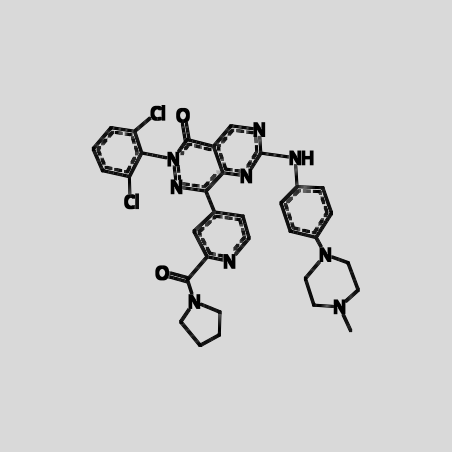 CN1CCN(c2ccc(Nc3ncc4c(=O)n(-c5c(Cl)cccc5Cl)nc(-c5ccnc(C(=O)N6CCCC6)c5)c4n3)cc2)CC1